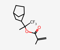 C=C(C)C(=O)OC(C)(C1CC2CCC1C2)C(F)(F)F